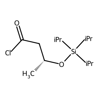 CC(C)[Si](O[C@H](C)CC(=O)Cl)(C(C)C)C(C)C